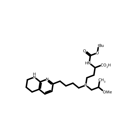 COC(C)CN(CCCCc1ccc2c(n1)NCCC2)CCC(NC(=O)OC(C)(C)C)C(=O)O